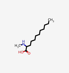 CCCCCCCCCCC(NC)C(=O)O